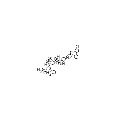 CN(C)CCC(CSc1ccccc1)Nc1ccc(S(=O)(=O)Nc2ncnc3cc(N4CCN(Cc5ccccc5-c5ccc(Cl)cc5Cl)CC4)ccc23)cc1[N+](=O)[O-]